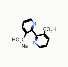 O=C(O)c1cccnc1-c1ncccc1C(=O)O.[Na]